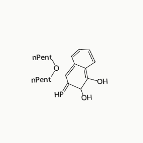 CCCCCOCCCCC.OC1=c2ccccc2=CC(=P)C1O